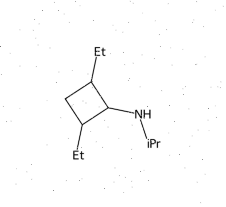 CCC1CC(CC)C1NC(C)C